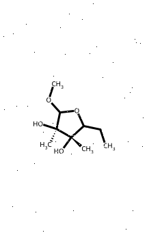 CCC1OC(OC)[C@](C)(O)[C@@]1(C)O